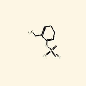 CCC1=CCCC=C1OS(N)(=O)=O